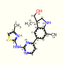 Cc1csc(Nc2nccc(-c3cc(C#N)c4c(c3)[C@@](C)(CO)CN4)n2)n1